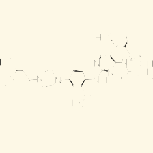 CC[C@@H]1C(=O)N(C)c2cnc(Nc3ccc(N4CCN(CCC(C)N)CC4)cc3OC)nc2N1C(C)C